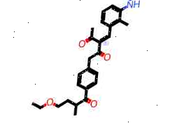 CCOCCC(C)C(=O)c1ccc(CC(=O)/C(=C/c2cccc(NC)c2C)C(C)=O)cc1